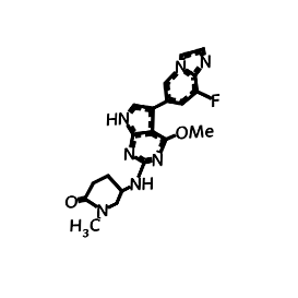 COc1nc(NC2CCC(=O)N(C)C2)nc2[nH]cc(-c3cc(F)c4nccn4c3)c12